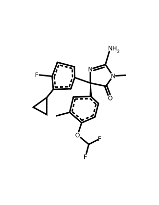 Cc1cc([C@@]2(c3ccc(F)c(C4CC4)c3)N=C(N)N(C)C2=O)ccc1OC(F)F